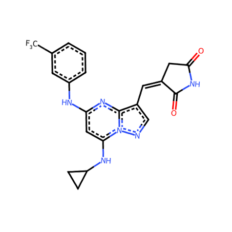 O=C1CC(=Cc2cnn3c(NC4CC4)cc(Nc4cccc(C(F)(F)F)c4)nc23)C(=O)N1